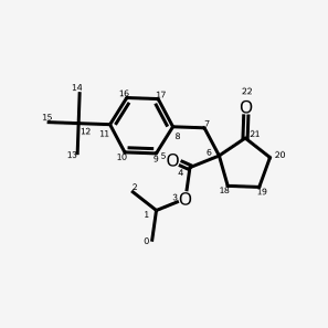 CC(C)OC(=O)C1(Cc2ccc(C(C)(C)C)cc2)CCCC1=O